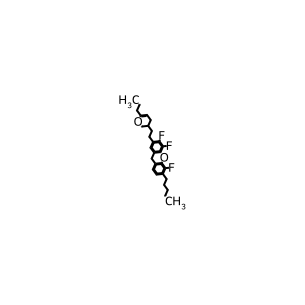 CCCCCc1ccc2c(c1F)Oc1c(cc(CCC3CC=C(CCC)OC3)c(F)c1F)C2